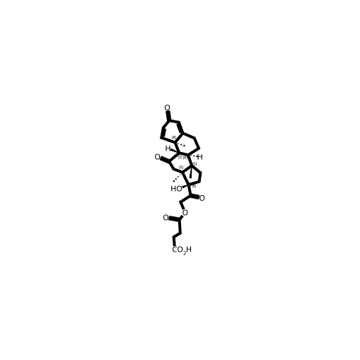 C[C@]12CC(=O)[C@H]3[C@@H](CCC4=CC(=O)C=C[C@@]43C)[C@]1(C)CC[C@]2(O)C(=O)COC(=O)CCC(=O)O